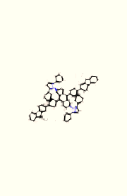 C=C1c2ccccc2-c2ccc(-c3ccc(-c4c5ccc(-n6c(-c7ccccc7)ccc6-c6ccccc6)cc5c(-c5ccc(-c6ccc7c(c6)C(C)(C)c6ccccc6-7)cc5)c5ccc(-n6c(-c7ccccc7)ccc6-c6ccccc6)cc45)cc3)cc21